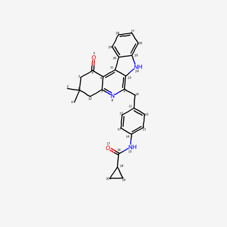 CC1(C)CC(=O)c2c(nc(Cc3ccc(NC(=O)C4CC4)cc3)c3[nH]c4ccccc4c23)C1